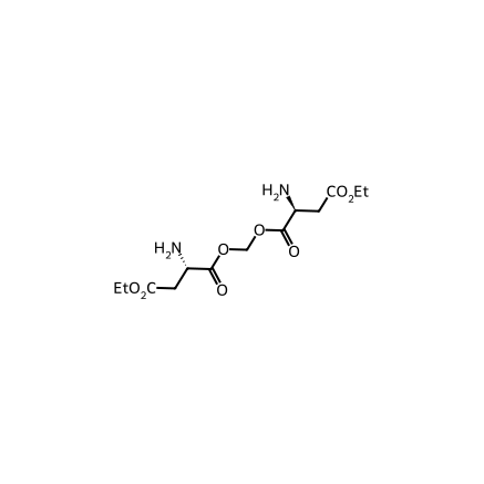 CCOC(=O)C[C@H](N)C(=O)OCOC(=O)[C@@H](N)CC(=O)OCC